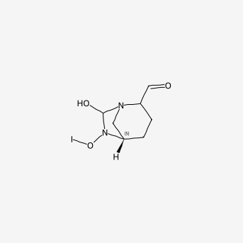 O=CC1CC[C@H]2CN1C(O)N2OI